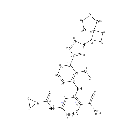 COc1c(NC(/C=C(\N)NC(=O)C2CC2)=C(/N)C(N)=O)cccc1-c1cnn(C2CCC23OCCO3)c1